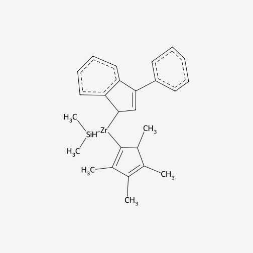 CC1=C(C)C(C)[C]([Zr]([CH]2C=C(c3ccccc3)c3ccccc32)[SiH](C)C)=C1C